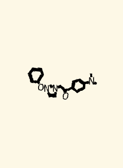 CN(C)c1ccc(C(=O)Cn2cc[n+](Oc3ccccc3)c2)cc1